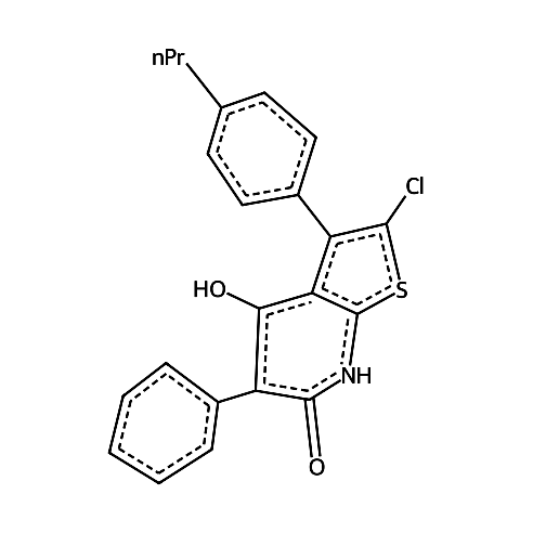 CCCc1ccc(-c2c(Cl)sc3[nH]c(=O)c(-c4ccccc4)c(O)c23)cc1